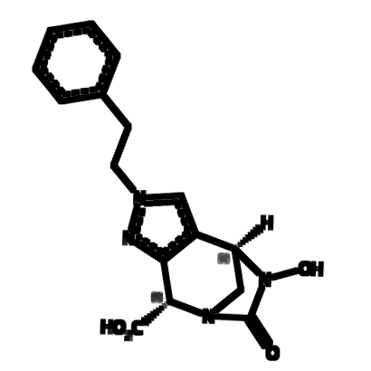 O=C(O)[C@@H]1c2nn(CCc3ccccc3)cc2[C@@H]2CN1C(=O)N2O